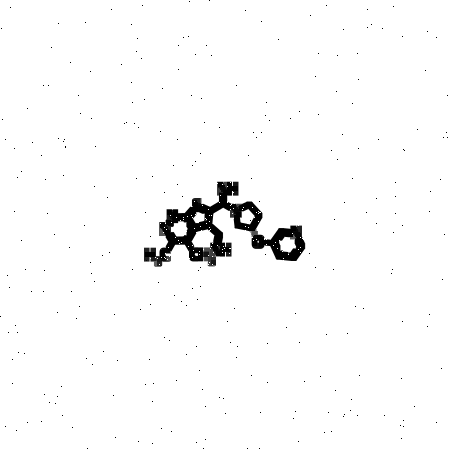 Cc1nnc2sc(C(=N)N3CC[C@H](Oc4cccnc4)C3)c(C=N)c2c1C